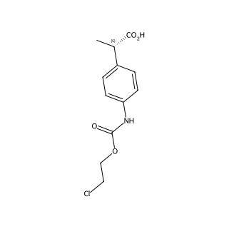 C[C@H](C(=O)O)c1ccc(NC(=O)OCCCl)cc1